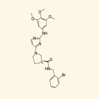 COc1cc(Nc2nccc(N3CCC[C@H](C(=O)NCc4ccccc4Br)C3)n2)cc(OC)c1OC